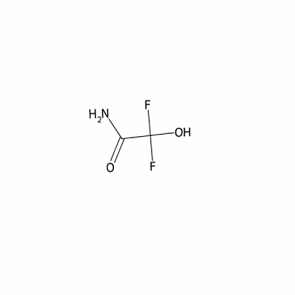 NC(=O)C(O)(F)F